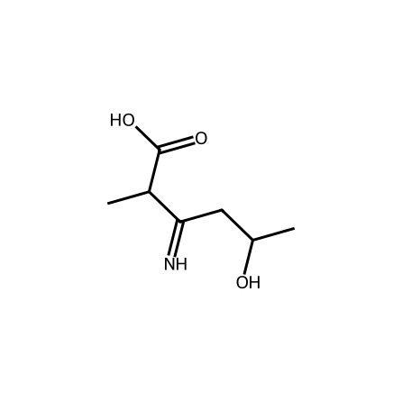 CC(O)CC(=N)C(C)C(=O)O